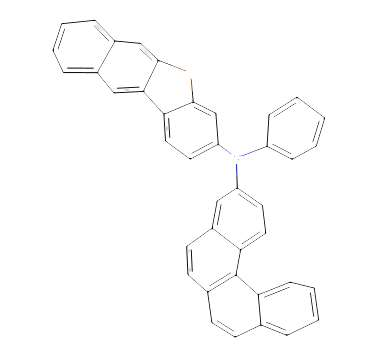 c1ccc(N(c2ccc3c(ccc4ccc5ccccc5c43)c2)c2ccc3c(c2)sc2cc4ccccc4cc23)cc1